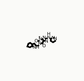 Cn1c(Nc2cccnn2)nc2c1c(=O)n(Cc1cc3ccccc3[nH]1)c(=O)n2C